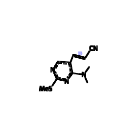 CSc1ncc(/C=C/C#N)c(N(C)C)n1